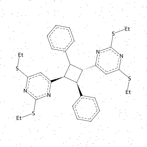 CCSc1cc([C@H]2C(c3ccccc3)[C@H](c3cc(SCC)nc(SCC)n3)[C@H]2c2ccccc2)nc(SCC)n1